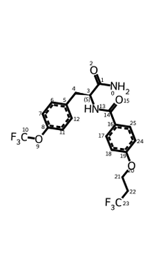 NC(=O)[C@H](Cc1ccc(OC(F)(F)F)cc1)NC(=O)c1ccc(OCCC(F)(F)F)cc1